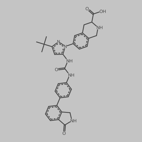 CC(C)(C)c1cc(NC(=O)Nc2ccc(-c3cccc4c3CNC4=O)cc2)n(-c2ccc3c(c2)CC(C(=O)O)NC3)n1